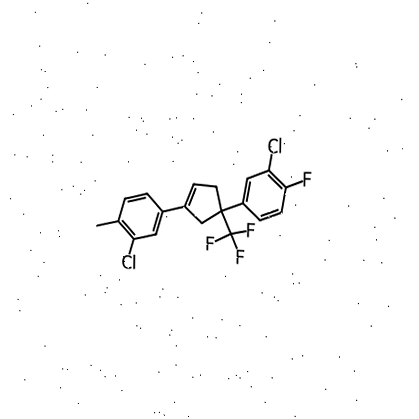 Cc1ccc(C2=CCC(c3ccc(F)c(Cl)c3)(C(F)(F)F)C2)cc1Cl